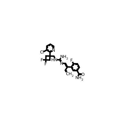 C=C/C(=C\N=C(/N)NCC1(c2ncccc2Cl)CC(F)(F)C1)c1cc(C(N)=O)ccc1F